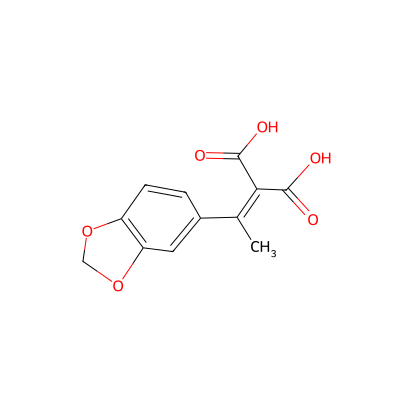 CC(=C(C(=O)O)C(=O)O)c1ccc2c(c1)OCO2